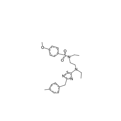 CCN(CCN(CC)S(=O)(=O)c1ccc(OC)cc1)c1nc(Cc2ccc(C)cc2)ns1